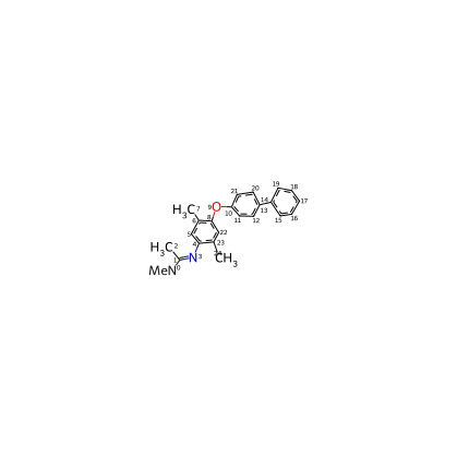 CNC(C)=Nc1cc(C)c(Oc2ccc(-c3ccccc3)cc2)cc1C